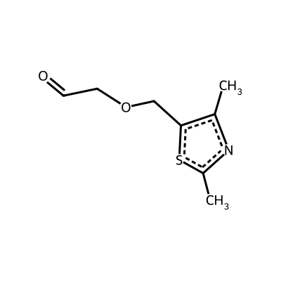 Cc1nc(C)c(COCC=O)s1